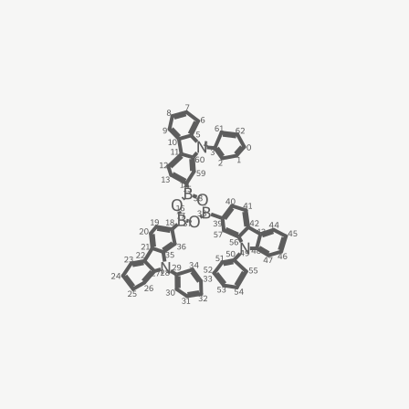 c1ccc(-n2c3ccccc3c3ccc(B4OB(c5ccc6c7ccccc7n(-c7ccccc7)c6c5)OB(c5ccc6c7ccccc7n(-c7ccccc7)c6c5)O4)cc32)cc1